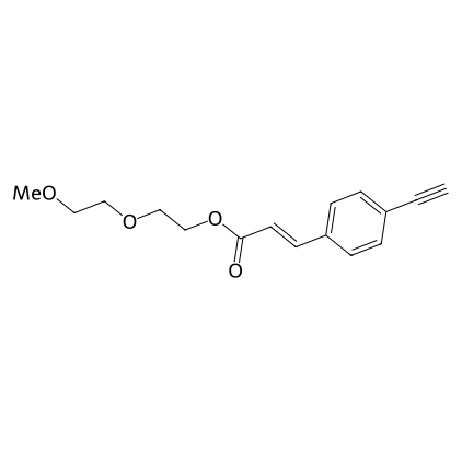 C#Cc1ccc(/C=C/C(=O)OCCOCCOC)cc1